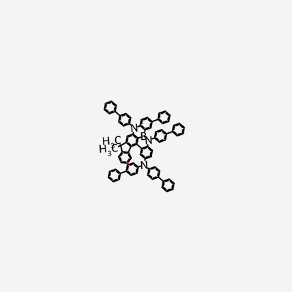 CC1(C)c2ccccc2-c2c1cc1c3c2-c2cc(N(c4ccc(-c5ccccc5)cc4)c4ccc(-c5ccccc5)cc4)ccc2N(c2ccc(-c4ccccc4)cc2)B3c2cc(-c3ccccc3)ccc2N1c1ccc(-c2ccccc2)cc1